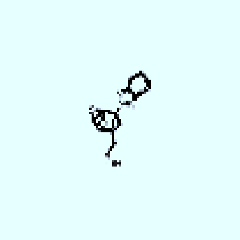 OCCC1=CC2SC2(O)C(n2nc3ccccc3n2)=C1